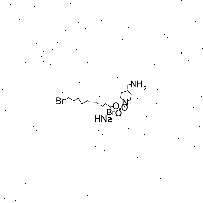 NCC1CCN(OC(=O)OC(Br)CCCCCCCCCBr)CC1.[NaH]